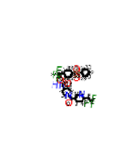 O=C(c1ccc(CC(F)(F)F)nc1)N1CCC(NS(=O)(=O)c2cc(S(=O)(=O)c3ccccc3)ccc2C(F)(F)F)CC1